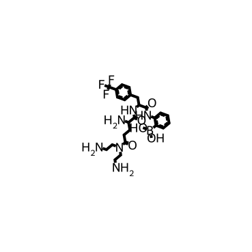 NCCN(CCN)C(=O)CCC(N)C(=O)NC(Cc1ccc(C(F)(F)F)cc1)C(=O)Nc1ccccc1B(O)O